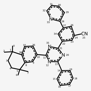 CC1(C)CCC(C)(C)c2cc(-c3nc(-c4ccccc4)nc(-c4cc(C#N)cc(-c5ccccn5)c4)n3)ccc21